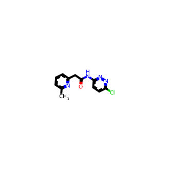 Cc1cccc(CC(=O)Nc2ccc(Cl)nn2)n1